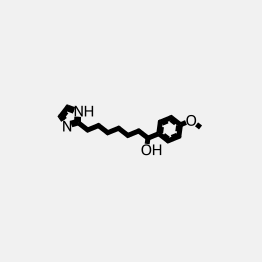 COc1ccc(C(O)CCCCCCc2ncc[nH]2)cc1